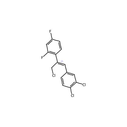 Fc1ccc(/C(=C/c2ccc(Cl)c(Cl)c2)CCl)c(F)c1